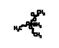 C=CC(=O)OCC([SiH3])(OCCC)OCCC